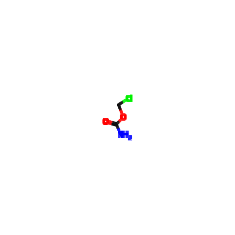 NC(=O)OCCl